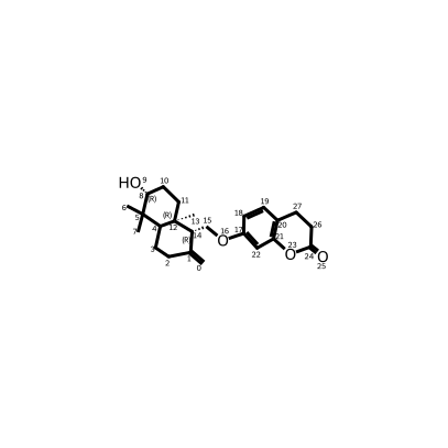 C=C1CCC2C(C)(C)[C@H](O)CC[C@@]2(C)[C@@H]1COc1ccc2c(c1)OC(=O)CC2